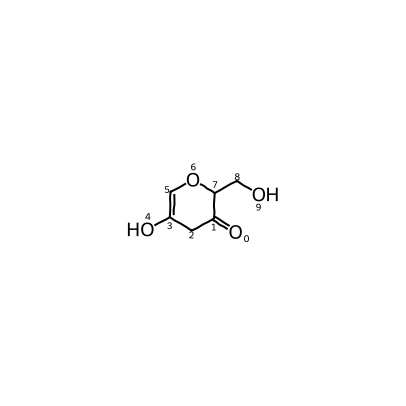 O=C1CC(O)=COC1CO